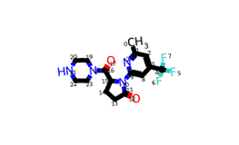 Cc1cc(C(F)(F)F)cc(N2C(=O)CCC2C(=O)N2CCNCC2)n1